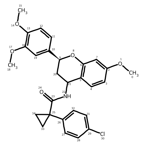 COc1ccc2c(c1)O[C@H](c1ccc(OC)c(OC)c1)CC2NC(=O)C1(c2ccc(Cl)cc2)CC1